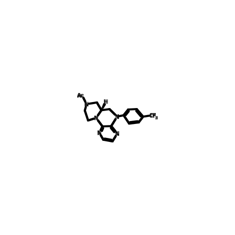 CC(=O)N1CCN2c3nccnc3N(c3ccc(C(F)(F)F)cc3)C[C@H]2C1